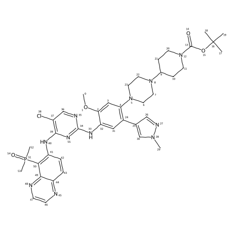 COc1cc(N2CCN(C3CCN(C(=O)OC(C)(C)C)CC3)CC2)c(-c2cnn(C)c2)cc1Nc1ncc(Cl)c(Nc2ccc3nccnc3c2P(C)(C)=O)n1